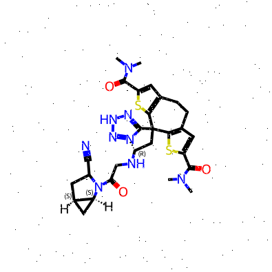 C[C@H](CC1(c2nn[nH]n2)c2sc(C(=O)N(C)C)cc2CCc2cc(C(=O)N(C)C)sc21)NCC(=O)N1C(C#N)C[C@@H]2C[C@@H]21